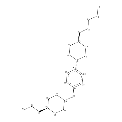 CCCCC[C@H]1CC[C@H](c2ccc([CH][C@H]3CC[C@H](CCC)CC3)cc2)CC1